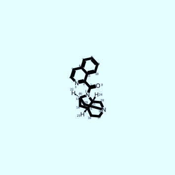 O=C(c1nccc2ccccc12)N1[C@@H]2C[C@H]3CCN(C2)C[C@H]31